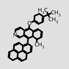 CC1C=CC=C2C(OC3=CC=C(C(C)(C)C)CC3)=c3ccncc3=C(c3ccc4c5c6c(ccc35)C=CCC6=CC4)C21